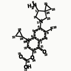 NC1CN(c2cc3c(cc2F)c(=O)c(OC(=O)O)cn3C2CC2)CC12CC2